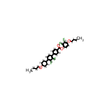 C=CCCOc1ccc(OC(=O)c2ccc(-c3ccc(C4CCC(OCCCC)CC4)c(F)c3F)cc2)c(F)c1F